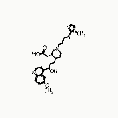 COc1ccc2nccc(C(O)CC[C@@H]3CCN(CCCSc4nccn4C)C[C@@H]3CC(=O)O)c2c1